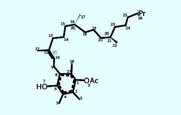 CC(=O)Oc1c(C)c(C)c(O)c(C/C=C(\C)CCC[C@H](C)CCC[C@H](C)CCCC(C)C)c1C